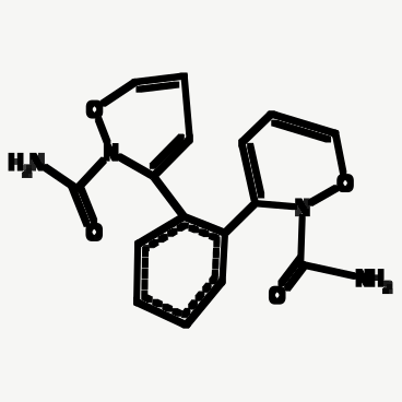 NC(=O)N1OC=CC=C1c1ccccc1C1=CC=CON1C(N)=O